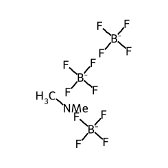 CNC.F[B-](F)(F)F.F[B-](F)(F)F.F[B-](F)(F)F